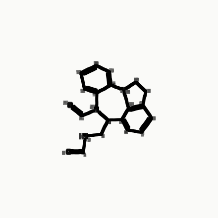 O=CNCC1c2cccc3c2N(CC3)c2ccccc2N1C=O